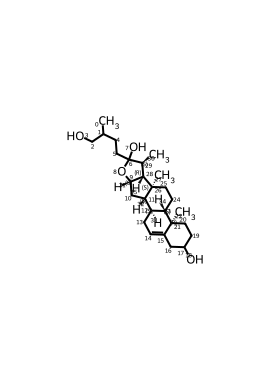 CC(CO)CCC1(O)O[C@H]2C[C@H]3[C@@H]4CC=C5CC(O)CC[C@]5(C)[C@H]4CC[C@]3(C)[C@H]2[C@@H]1C